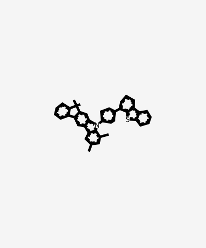 Cc1cc(C)c2c(c1)c1cc3c(cc1n2-c1ccc(-c2cccc4c2sc2ccccc24)cc1)C(C)(C)c1ccccc1-3